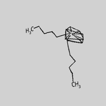 CCCCC[C]12[CH]3[CH]4[CH]5[C]1(CCCCC)[Fe]43521678[CH]2[CH]1[CH]6[CH]7[CH]28